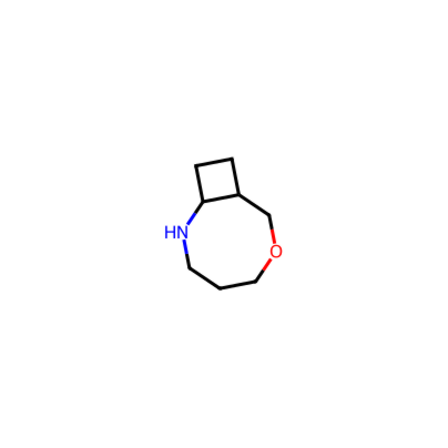 C1CNC2CCC2COC1